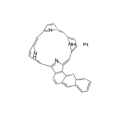 C1=Cc2cc3ccc(cc4nc(cc5ccc(cc1n2)[nH]5)-c1ccc2cc5ccccc5cc2c1-4)[nH]3.[Pt]